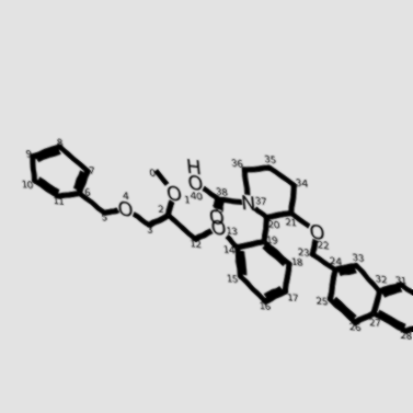 COC(COCc1ccccc1)COc1ccccc1C1C(OCc2ccc3ccccc3c2)CCCN1C(=O)O